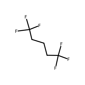 FC(F)(F)CCCC(F)(F)F